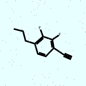 C#Cc1ccc(CCC)c(F)c1F